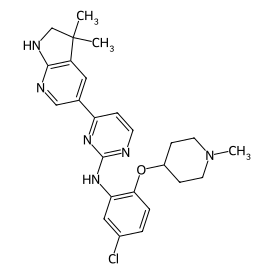 CN1CCC(Oc2ccc(Cl)cc2Nc2nccc(-c3cnc4c(c3)C(C)(C)CN4)n2)CC1